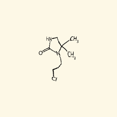 CC1(C)CNC(=O)N1CCCl